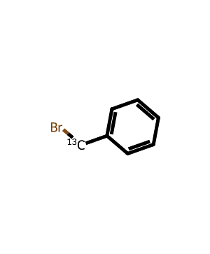 Br[13CH2]c1ccccc1